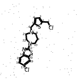 ClCc1ccc(CN2CCCN(c3nc4ccc(Cl)cc4s3)CC2)s1